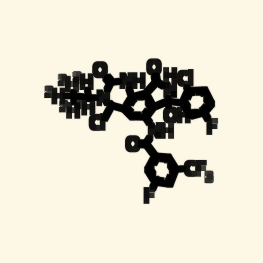 [2H]C([2H])([2H])C([2H])([2H])N1C(=O)Nc2c(cc(NC(=O)c3cc(F)cc(C(F)(F)F)c3)c3c2C(=O)NC3(O)c2cc(F)ccc2Cl)C1Cl